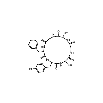 CCC(C)C1NC(=O)C(Cc2ccc(O)cc2)NC(=O)C(Cc2ccccc2)NC(=O)CNC(=O)C(C(C)C)NC(=O)CNC1=O